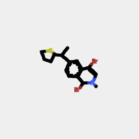 CC(c1ccc2c(c1)C(Br)=CN(C)C2Br)C1CCCS1